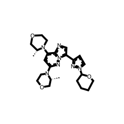 C[C@@H]1COCCN1c1cc(N2CCOC[C@H]2C)c2ncc(-c3ccn(C4CCCCO4)n3)n2n1